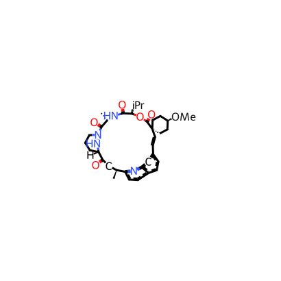 CO[C@H]1CC[C@@]2(/C=C/c3ccc4ccc(nc4c3)[C@@H](C)CC(=O)[C@@H]3CCCN(N3)C(=O)[C@H](C)NC(=O)C(C(C)C)OC2=O)CC1